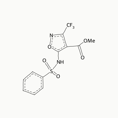 COC(=O)c1c(C(F)(F)F)noc1NS(=O)(=O)c1ccccc1